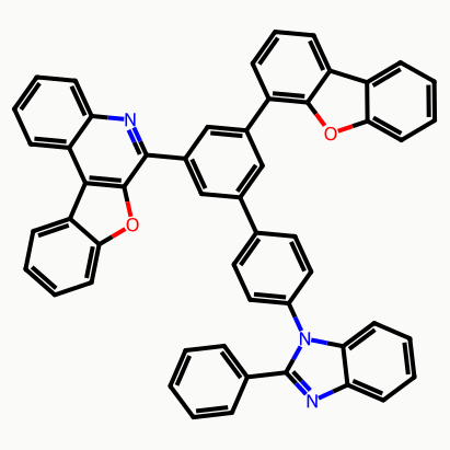 c1ccc(-c2nc3ccccc3n2-c2ccc(-c3cc(-c4cccc5c4oc4ccccc45)cc(-c4nc5ccccc5c5c4oc4ccccc45)c3)cc2)cc1